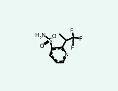 CC(c1ncccc1S(N)(=O)=O)C(F)(F)F